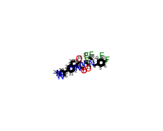 C[C@H](N(Cc1ccc(F)c(F)c1)C(=O)CN1C(=O)N[C@]2(CCc3cc(-c4cnn(C)c4)ccc32)C1=O)C(F)(F)F